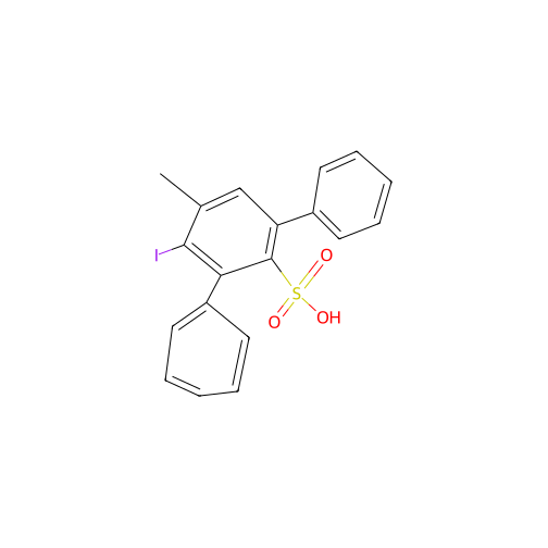 Cc1cc(-c2ccccc2)c(S(=O)(=O)O)c(-c2ccccc2)c1I